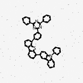 c1ccc(-c2nc(-c3ccccc3)nc(-c3cccc(-c4cccc5c4sc4c(-c6ccc7c(c6)c6ccccc6n7-c6ccccc6)cccc45)c3)n2)cc1